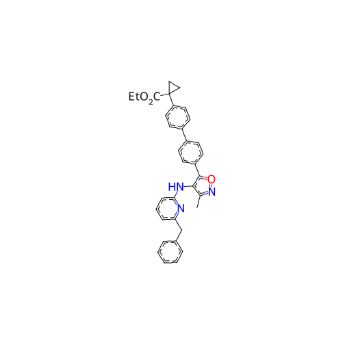 CCOC(=O)C1(c2ccc(-c3ccc(-c4onc(C)c4Nc4cccc(Cc5ccccc5)n4)cc3)cc2)CC1